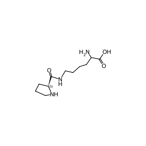 NC(CCCCNC(=O)[C@@H]1CCCN1)C(=O)O